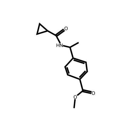 COC(=O)c1ccc(C(C)NC(=O)C2CC2)cc1